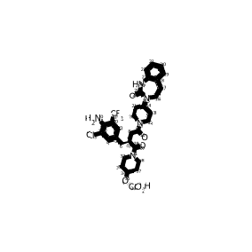 Nc1c(Cl)cc(C[C@@H](CC(=O)N2CCC(N3CCc4ccccc4NC3=O)CC2)C(=O)N2CCC(OC(=O)O)CC2)cc1C(F)(F)F